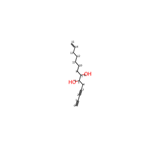 C#CC#CCC(O)C(O)CCCCCC=C